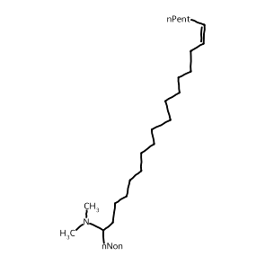 CCCCC/C=C\CCCCCCCCCCCCCCC(CCCCCCCCC)N(C)C